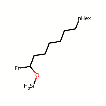 CCCCCCCCCCCCC(CC)O[SiH3]